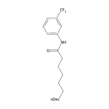 CCCCCCCCCCCCCCCC(=O)Nc1cccc(C(F)(F)F)c1